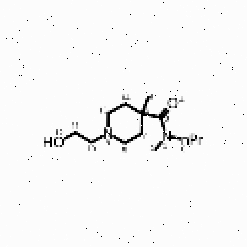 CCCN(C)C(=O)C1(C)CCN(CCO)CC1